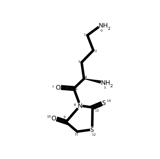 NCCC[C@@H](N)C(=O)N1C(=O)CSC1=S